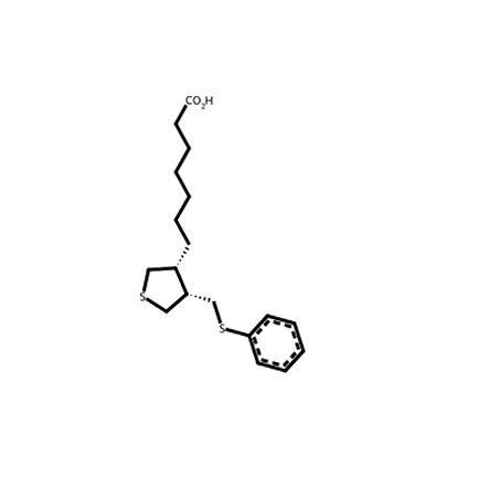 O=C(O)CCCCCC[C@H]1CSC[C@H]1CSc1ccccc1